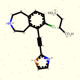 Clc1ccc2c(c1C#Cc1nccs1)CCNCC2.O=C(O)CCC(=O)O